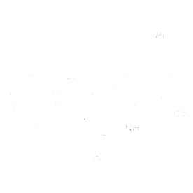 CC1(c2ccccc2)C(=O)Nc2c(Br)cc(Br)cc2C1=O